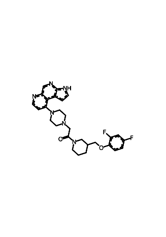 O=C(CN1CCN(c2ccnc3cnc4[nH]ccc4c23)CC1)N1CCCC(COc2ccc(F)cc2F)C1